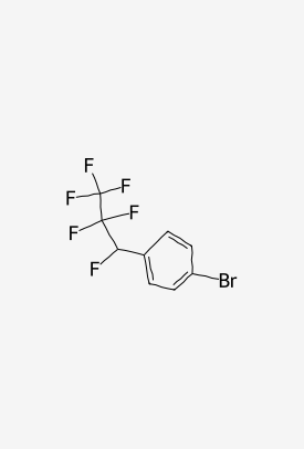 FC(c1ccc(Br)cc1)C(F)(F)C(F)(F)F